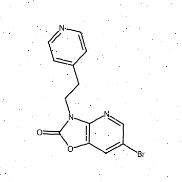 O=c1oc2cc(Br)cnc2n1CCc1ccncc1